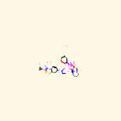 Cc1cc(-n2nc3c(c2-n2ccn(-c4ccc(N(C)C(=O)C5CC5)c(Cl)c4)c2=O)[C@@H]2CCC[C@H](C3)N2C(=O)OC(C)(C)C)cc(C)c1F